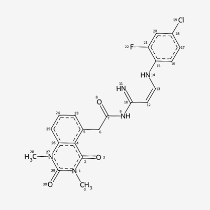 Cn1c(=O)c2c(CC(=O)NC(=N)/C=C\Nc3ccc(Cl)cc3F)cccc2n(C)c1=O